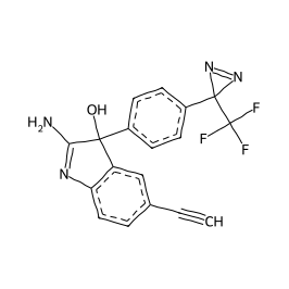 C#Cc1ccc2c(c1)C(O)(c1ccc(C3(C(F)(F)F)N=N3)cc1)C(N)=N2